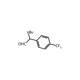 CCCCC(C=O)c1ccc(C(F)(F)F)cc1